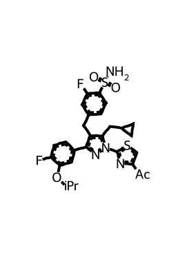 CC(=O)c1csc(-n2nc(-c3ccc(F)c(OC(C)C)c3)c(Cc3ccc(S(N)(=O)=O)c(F)c3)c2CC2CC2)n1